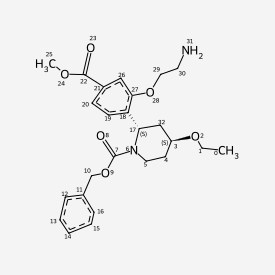 CCO[C@H]1CCN(C(=O)OCc2ccccc2)[C@H](c2ccc(C(=O)OC)cc2OCCN)C1